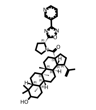 C=C(C)[C@@H]1CC[C@]2(C(=O)N3CCC[C@@H]3c3nc(-c4cccnc4)no3)CC[C@]3(C)[C@H](CC[C@@H]4[C@@]5(C)CCC(O)C(C)(C)[C@@H]5CC[C@]43C)[C@@H]12